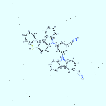 N#Cc1cc(-n2c3ccccc3c3cc(C#N)ccc32)cc(-n2c3ccccc3c3c4c(ccc32)sc2ccccc24)c1